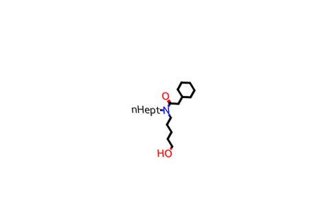 CCCCCCCN(CCCCCO)C(=O)CC1CCCCC1